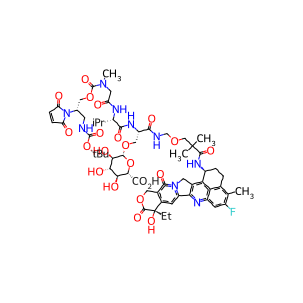 CC[C@@]1(O)C(=O)OCc2c1cc1n(c2=O)Cc2c-1nc1cc(F)c(C)c3c1c2[C@@H](NC(=O)C(C)(C)COCNC(=O)[C@H](CO[C@@H]1O[C@H](C(=O)O)[C@@H](O)[C@H](O)[C@H]1O)NC(=O)[C@@H](NC(=O)CN(C)C(=O)OC[C@H](CNC(=O)OC(C)(C)C)N1C(=O)C=CC1=O)C(C)C)CC3